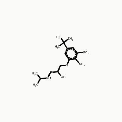 CC(C)NCC(O)COc1cc(C(C)(C)C)cc(N)c1N